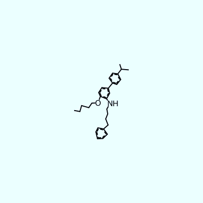 CCCCCOc1ccc(-c2ccc(C(C)C)cc2)cc1NCCCCc1ccccc1